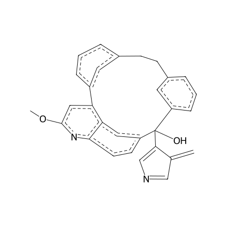 C=C1C=NC=C1C1(O)c2cccc(c2)CCc2cccc(c2)-c2cc(OC)nc3ccc1cc23